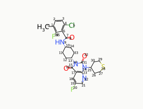 Cc1ccc(Cl)c(C(=O)N[C@H]2CC[C@@H](n3c(=O)c4cc(F)cnc4n(C4CCSCC4)c3=O)CC2)c1F